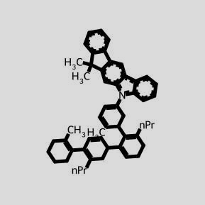 CCCC1=C(C2=C(C)CCCC2)C=CC(C2=CCCC(CCC)=C2C2CC(n3c4ccccc4c4cc5c(cc43)C(C)(C)c3ccccc3-5)=CC=C2C)C1